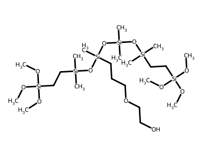 CO[Si](CC[Si](C)(C)O[Si](C)(C)O[Si](C)(CCCOCCO)O[Si](C)(C)CC[Si](OC)(OC)OC)(OC)OC